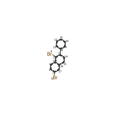 Brc1ccc2c(Br)c(-c3ccccc3)ccc2c1